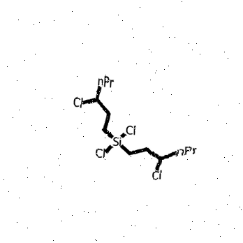 CCCC(Cl)CC[Si](Cl)(Cl)CCC(Cl)CCC